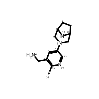 NCc1cc(N2CC3CCC(C2)N3)cnc1F